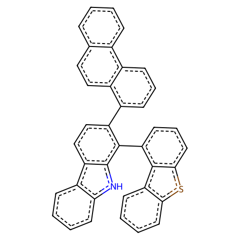 c1ccc2c(c1)ccc1c(-c3ccc4c([nH]c5ccccc54)c3-c3cccc4sc5ccccc5c34)cccc12